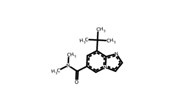 CN(C)C(=O)c1cc(C(C)(C)C)c2nccn2c1